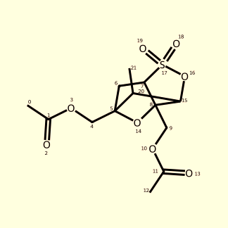 CC(=O)OCC12CC3C(COC(C)=O)(O1)C(OS3(=O)=O)C2C